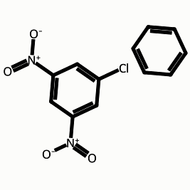 O=[N+]([O-])c1cc(Cl)cc([N+](=O)[O-])c1.c1ccccc1